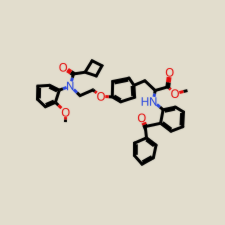 COC(=O)C(Cc1ccc(OCCN(C(=O)C2CCC2)c2ccccc2OC)cc1)Nc1ccccc1C(=O)c1ccccc1